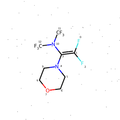 FC(F)=C(N1CCOCC1)N(C(F)(F)F)C(F)(F)F